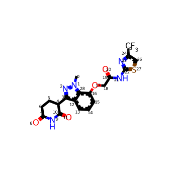 Cn1nc(C2CCC(=O)NC2=O)c2cccc(OCC(=O)Nc3nc(C(F)(F)F)cs3)c21